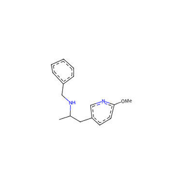 COc1ccc(CC(C)NCc2ccccc2)cn1